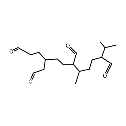 CC(C)C(C=O)CCC(C)C(C=O)CCC(CC=O)CCC=O